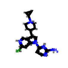 Nc1nccc(-n2cc(C3CCN(C4CC4)CC3)c3cnc(Br)cc32)n1